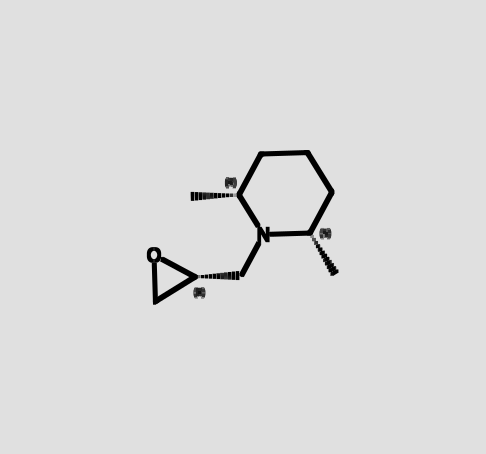 C[C@@H]1CCC[C@H](C)N1C[C@@H]1CO1